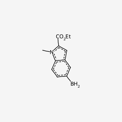 Bc1ccc2c(c1)cc(C(=O)OCC)n2C